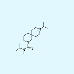 CC(C)N1CCC2(CCCN(C(=O)N(C)C(C)C)C2)CC1